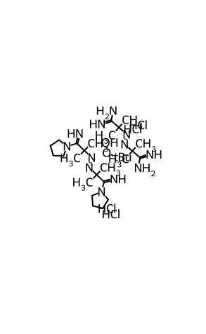 CC(C)(C)OO.CC(C)(N=NC(C)(C)C(=N)N)C(=N)N.CC(C)(N=NC(C)(C)C(=N)N1CCCC1)C(=N)N1CCCC1.Cl.Cl.Cl.Cl